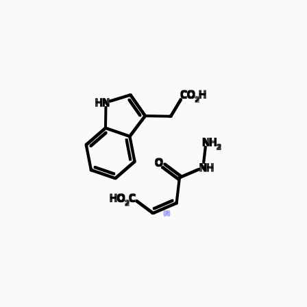 NNC(=O)/C=C\C(=O)O.O=C(O)Cc1c[nH]c2ccccc12